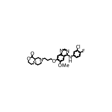 COc1cc2c(Nc3ccc(F)c(Cl)c3)ncnc2cc1OCCCN1CCN2CCOC(=O)C2C1